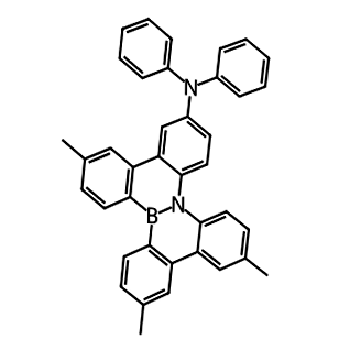 Cc1ccc2c(c1)-c1cc(C)ccc1N1B2c2ccc(C)cc2-c2cc(N(c3ccccc3)c3ccccc3)ccc21